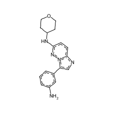 Nc1cccc(-c2cnc3ccc(NC4CCOCC4)nn23)c1